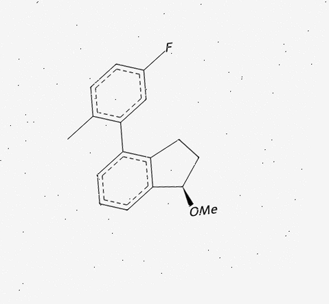 CO[C@@H]1CCc2c(-c3cc(F)ccc3C)cccc21